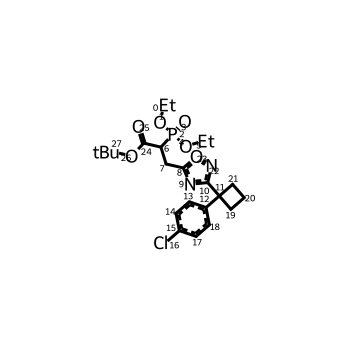 CCOP(=O)(OCC)C(Cc1nc(C2(c3ccc(Cl)cc3)CCC2)no1)C(=O)OC(C)(C)C